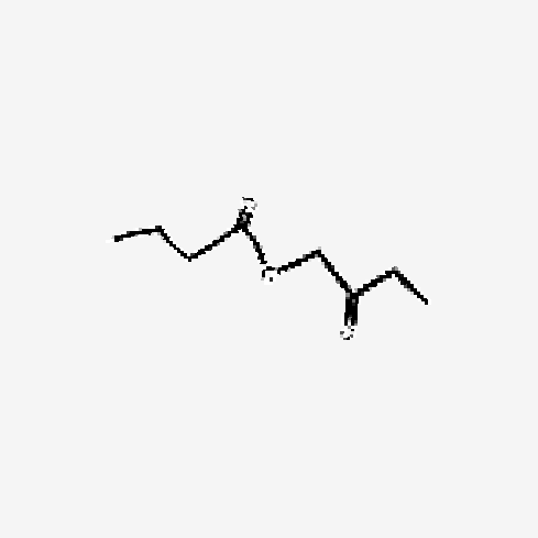 [CH2]CCC(=O)OCC(=O)CC